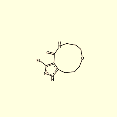 CCc1n[nH]c2c1C(=O)NCCCOCCC2